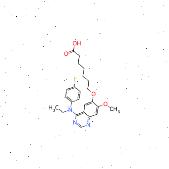 CCN(c1ccc(F)cc1)c1ncnc2cc(OC)c(OCCCCCCC(=O)O)cc12